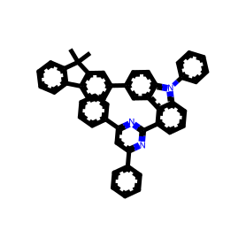 CC1(C)c2ccccc2-c2ccc(-c3ccc4c(c3)c3c(-c5nc(-c6ccccc6)cc(-c6ccccc6)n5)cccc3n4-c3ccccc3)cc21